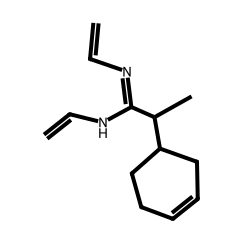 C=C/N=C(\NC=C)C(C)C1CC=CCC1